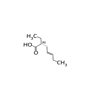 CCC=CC[C@@H](CC)C(=O)O